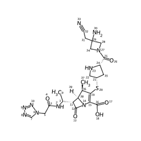 CC(NC(=O)Cn1cnnn1)[C@H]1C(=O)N2C(C(=O)O)=C(S[C@@H]3CN[C@H](C(=O)N4CC(N)(CC#N)C4)C3)[C@H](C)[C@H]12